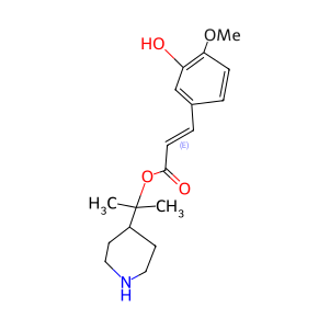 COc1ccc(/C=C/C(=O)OC(C)(C)C2CCNCC2)cc1O